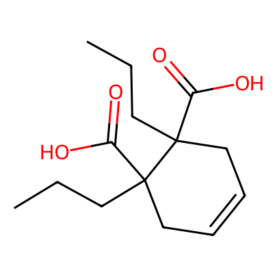 CCCC1(C(=O)O)CC=CCC1(CCC)C(=O)O